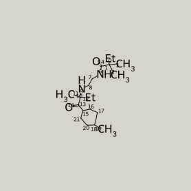 CCC(C)(C)C(=O)NCCNC(C)(CC)C(=O)C1CCC(C)CC1